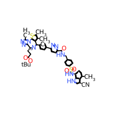 Cc1sc2c(c1C)C(c1ccc(-c3ccc(C(=O)NCc4ccc(S(=O)(=O)Nc5ccc(C)c6c(C#N)c[nH]c56)cc4)nn3)cc1)=N[C@@H](CCC(=O)OC(C)(C)C)c1nnc(C)n1-2